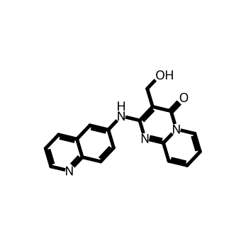 O=c1c(CO)c(Nc2ccc3ncccc3c2)nc2ccccn12